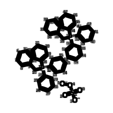 O=S(=O)([O-])O[O-].c1ccc(C[P+](c2ccccc2)(c2ccccc2)c2ccccc2)cc1.c1ccc(C[P+](c2ccccc2)(c2ccccc2)c2ccccc2)cc1